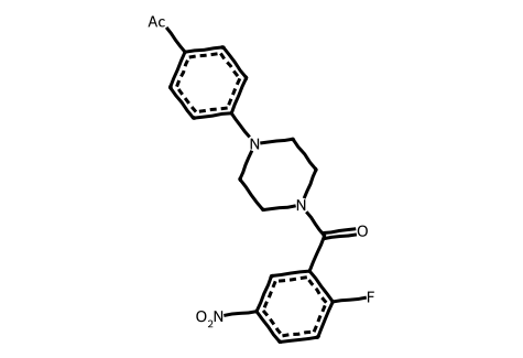 CC(=O)c1ccc(N2CCN(C(=O)c3cc([N+](=O)[O-])ccc3F)CC2)cc1